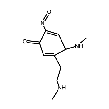 CNCCC1=CC(=O)C(N=O)=CC1NC